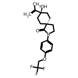 C=C(C)[C@]1(O)CC[C@@]2(CCN(c3ccc(OCC(F)(F)F)cc3)C2=O)CC1